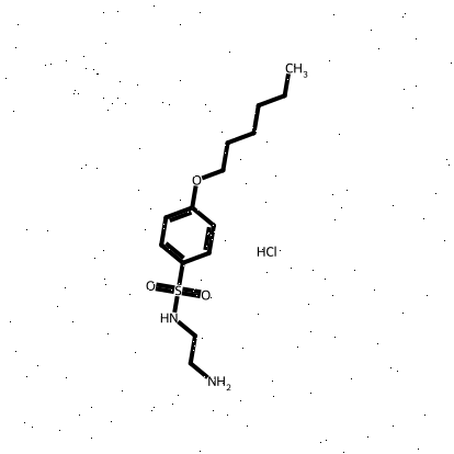 CCCCCCOc1ccc(S(=O)(=O)NCCN)cc1.Cl